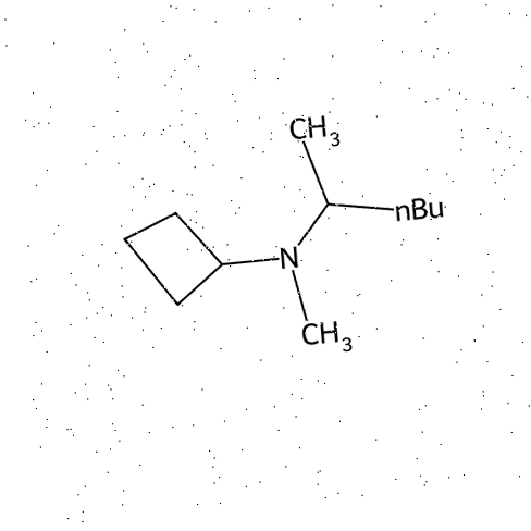 CCCCC(C)N(C)C1CCC1